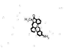 CN1C(=O)c2cccc3c2C1=Cc1cccnc1N3Cc1cccc(N)c1